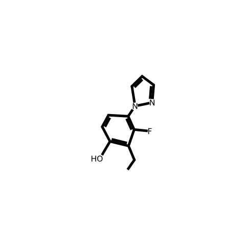 CCc1c(O)ccc(-n2cccn2)c1F